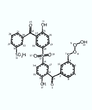 O=C(c1cccc(SOOO)c1)c1cc(S(=O)(=O)c2ccc(O)c(C(=O)c3cccc(S(=O)(=O)O)c3)c2)ccc1O